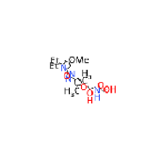 CCC(CC)c1cc(OC)cc(-c2nc(-c3cc(C)c(OC[C@@H](O)CNC(=O)CO)c(C)c3)no2)n1